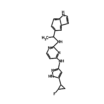 CC(Nc1nccc(Nc2cc(C3CC3F)[nH]n2)n1)c1ccc2[nH]ccc2c1